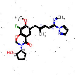 C=N/C(=C\C=C(/C)Cc1cc2c(c(F)c1OC)OCN([C@H]1CCC[C@@H]1O)C2=O)n1cccn1